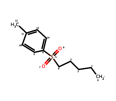 [CH2]CCCCS(=O)(=O)c1ccc(C)cc1